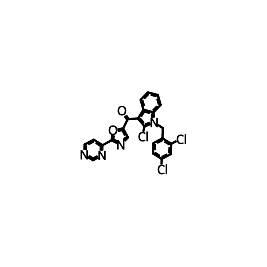 O=C(c1cnc(-c2ccncn2)o1)c1c(Cl)n(Cc2ccc(Cl)cc2Cl)c2ccccc12